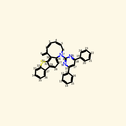 C=C1/C=C\C=C/CN(c2nc(-c3ccccc3)cc(-c3ccccc3)n2)c2ccc3c(sc4ccccc43)c21